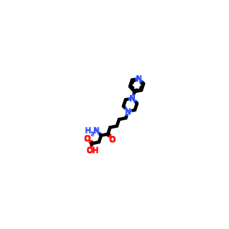 NC(CC(=O)O)C(=O)CCCCN1CCN(c2ccncc2)CC1